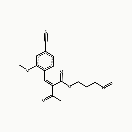 C=NCCCOC(=O)/C(=C\c1ccc(C#N)cc1OC)C(C)=O